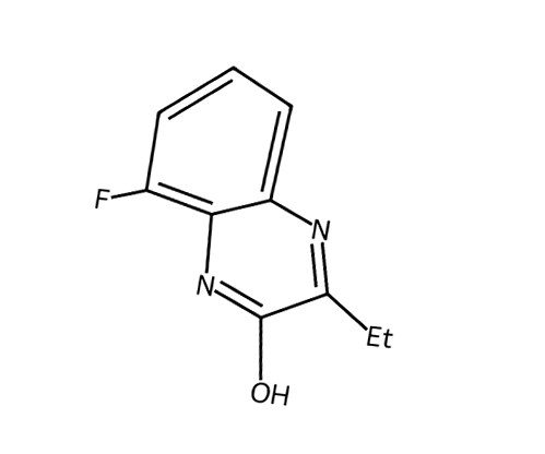 CCc1nc2cccc(F)c2nc1O